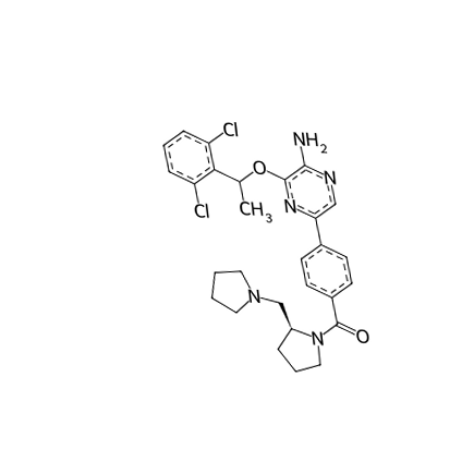 CC(Oc1nc(-c2ccc(C(=O)N3CCC[C@H]3CN3CCCC3)cc2)cnc1N)c1c(Cl)cccc1Cl